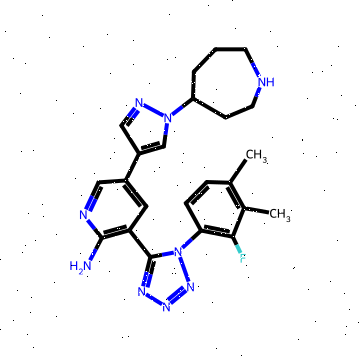 Cc1ccc(-n2nnnc2-c2cc(-c3cnn(C4CCCNCC4)c3)cnc2N)c(F)c1C